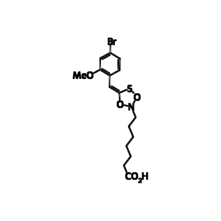 COc1cc(Br)ccc1/C=C1/ON(CCCCCCC(=O)O)OS1